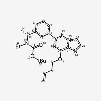 C=CCCOc1nc(-c2cccc([C@@H](C)N(CC)C(=O)OC(C)(C)C)c2)nn2ccnc12